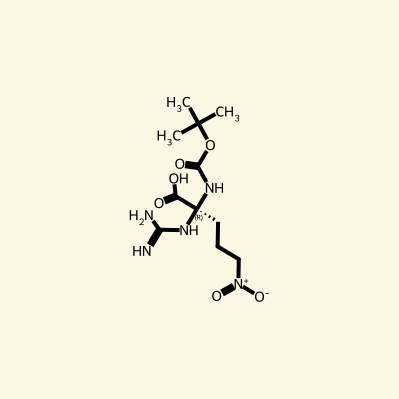 CC(C)(C)OC(=O)N[C@@](CCC[N+](=O)[O-])(NC(=N)N)C(=O)O